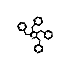 c1ccc(Cc2sc(Cc3ccccc3)c(Cc3ccccc3)c2Cc2ccccc2)cc1